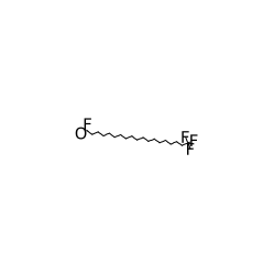 O=C(F)CCCCCCCCCCCCCCCCCC(F)(F)F